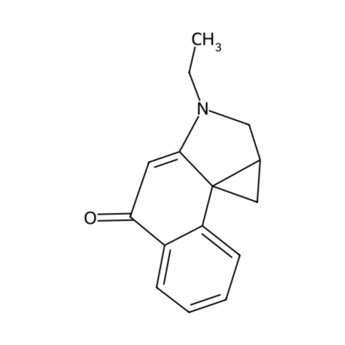 CCN1CC2CC23C1=CC(=O)c1ccccc13